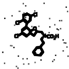 O=C(O)N(CCc1ccccc1)CC1Cc2cc(Cl)cc(-c3cc(Cl)ccc3Cl)c2O1